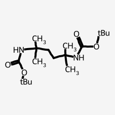 CC(C)(CCC(C)(C)NC(=O)OC(C)(C)C)NC(=O)OC(C)(C)C